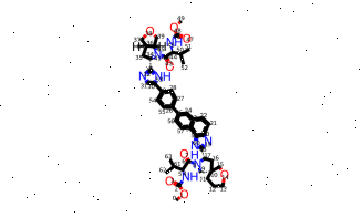 COC(=O)N[C@H](C(=O)N1C[C@]2(CCCOC2)C[C@H]1c1nc2ccc3cc(-c4ccc(-c5cnc([C@@H]6C[C@@H]7COC[C@@H]7N6C(=O)[C@@H](NC(=O)OC)C(C)C)[nH]5)cc4)ccc3c2[nH]1)C(C)C